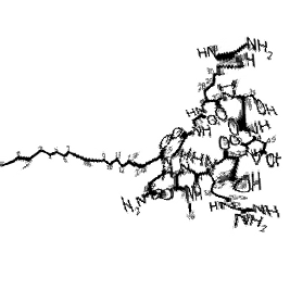 CCCCCCCCCCCCCCCC(=O)N[C@@H](C)C(=O)NCC(=O)N[C@@H](CCCNC(=N)N)C(=O)N[C@@H](CO)C(=O)N[C@@H](CC(=O)O)C(=O)N[C@H](C(=O)N[C@@H](CCCNC(=N)N)C(=O)N[C@@H](CCC(N)=O)C(=O)NC)[C@@H](C)O